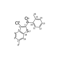 Cc1ccc2c(Cl)c(C(=O)c3ccccc3C)sc2c1